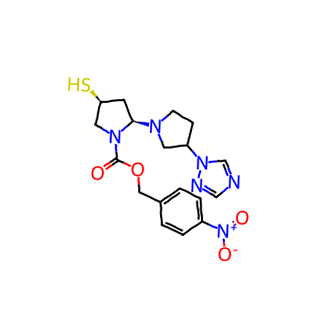 O=C(OCc1ccc([N+](=O)[O-])cc1)N1C[C@@H](S)C[C@H]1N1CCC(n2cncn2)C1